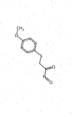 COc1ccc(SCC(=O)N=O)cc1